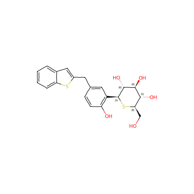 OC[C@H]1S[C@@H](c2cc(Cc3cc4ccccc4s3)ccc2O)[C@H](O)[C@@H](O)[C@@H]1O